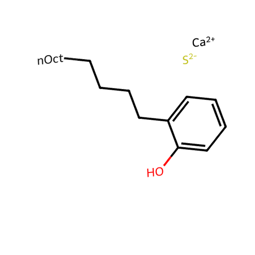 CCCCCCCCCCCCc1ccccc1O.[Ca+2].[S-2]